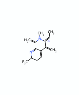 C=CN(C)/C(=C\C)C(=C)C1=CCC(C(F)(F)F)N=C1